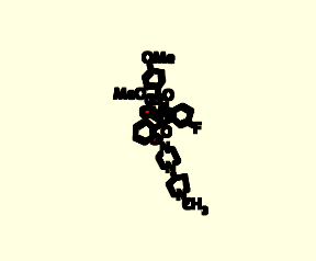 COc1ccc(S(=O)(=O)N2C(=O)C(OC(=O)N3CCN(C4CCN(C)CC4)CC3)(c3ccccc3OC)c3cc(F)ccc32)c(OC)c1